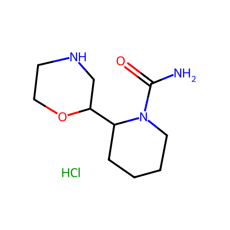 Cl.NC(=O)N1CCCCC1C1CNCCO1